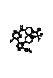 Cc1ncc(-c2nc(NC3CCN(C(=O)C(F)(F)F)CC3)ncc2F)n1C1CCOCC1